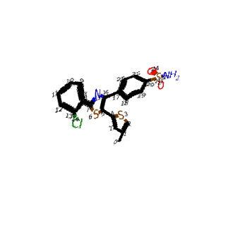 Cc1csc(-c2sc(-c3ccccc3Cl)nc2-c2ccc(S(N)(=O)=O)cc2)c1